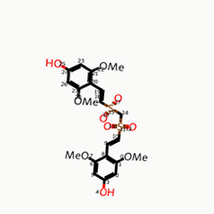 COc1cc(O)cc(OC)c1C=CS(=O)(=O)CS(=O)(=O)/C=C/c1c(OC)cc(O)cc1OC